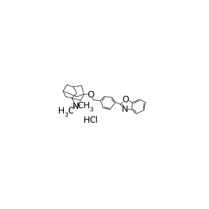 CN(C)C12CC3CC(CC(OCc4ccc(-c5nc6ccccc6o5)cc4)(C3)C1)C2.Cl